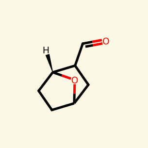 O=CC1CC2CC[C@H]1O2